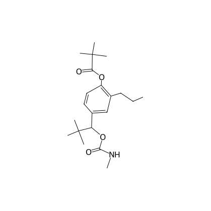 CCCc1cc(C(OC(=O)NC)C(C)(C)C)ccc1OC(=O)C(C)(C)C